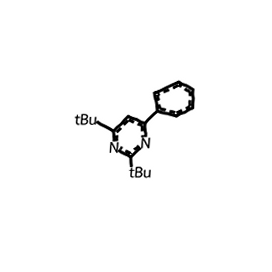 CC(C)(C)c1cc(-c2ccccc2)nc(C(C)(C)C)n1